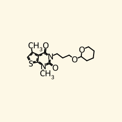 Cc1csc2c1c(=O)n(CCCOC1CCCCO1)c(=O)n2C